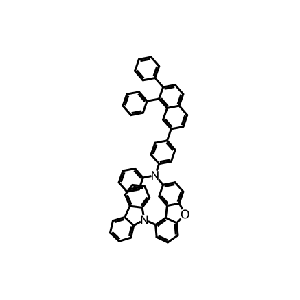 c1ccc(-c2ccc3ccc(-c4ccc(N(c5ccccc5)c5ccc6oc7cccc(-n8c9ccccc9c9ccccc98)c7c6c5)cc4)cc3c2-c2ccccc2)cc1